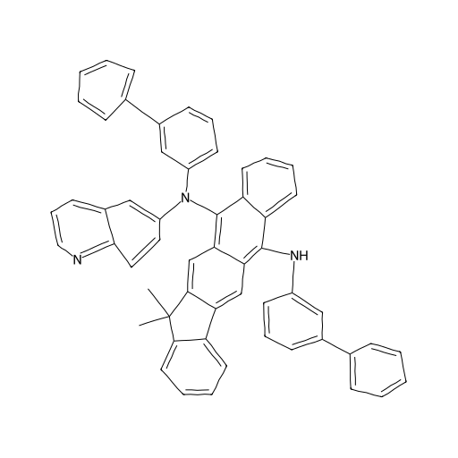 CC1(C)c2ccccc2-c2cc3c(Nc4cccc(-c5ccccc5)c4)c4ccccc4c(N(c4cccc(-c5ccccc5)c4)c4ccc5ncccc5c4)c3cc21